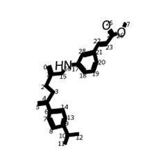 C=C(CCC(=C)c1ccc(C(C)C)cc1)CNc1cccc(/C=C/C(=O)OC)c1